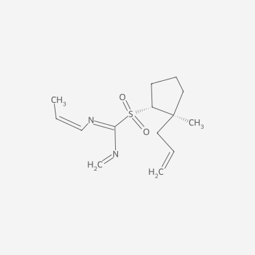 C=CC[C@]1(C)CCC[C@H]1S(=O)(=O)/C(N=C)=N/C=C\C